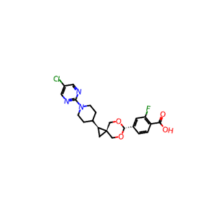 O=C(O)c1ccc([C@H]2OC[C@@]3(CO2)C[C@H]3C2CCN(c3ncc(Cl)cn3)CC2)cc1F